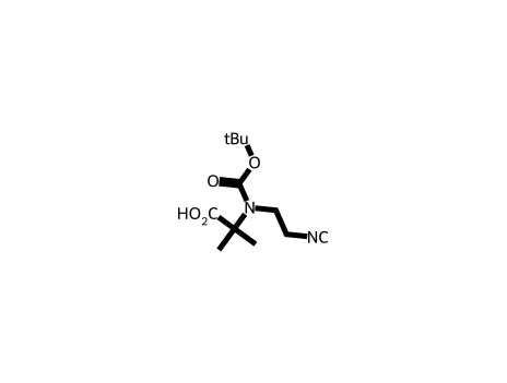 [C-]#[N+]CCN(C(=O)OC(C)(C)C)C(C)(C)C(=O)O